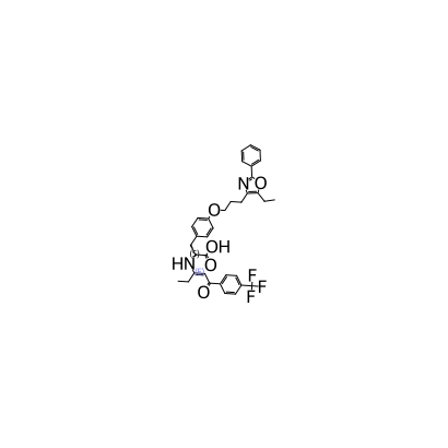 CC/C(=C\C(=O)c1ccc(C(F)(F)F)cc1)N[C@@H](Cc1ccc(OCCCc2nc(-c3ccccc3)oc2CC)cc1)C(=O)O